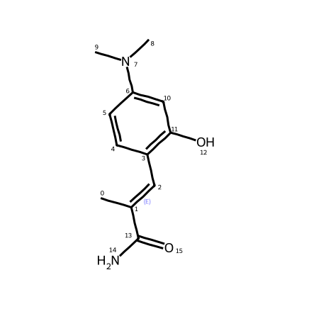 C/C(=C\c1ccc(N(C)C)cc1O)C(N)=O